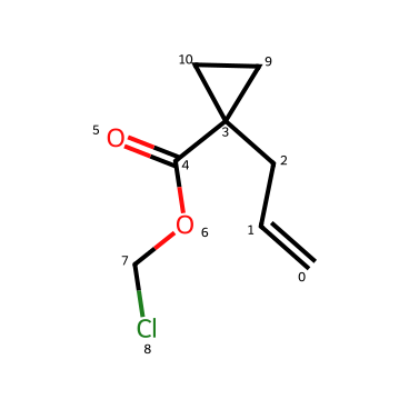 C=CCC1(C(=O)OCCl)CC1